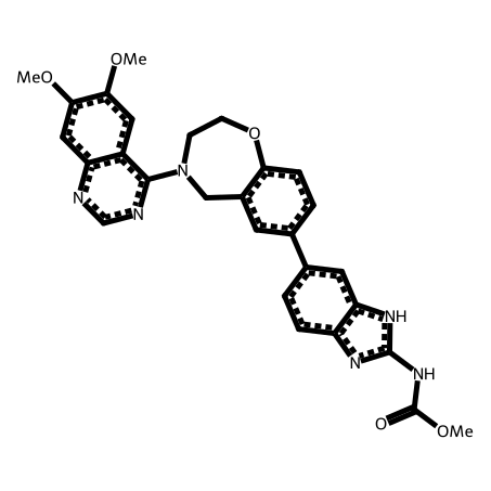 COC(=O)Nc1nc2ccc(-c3ccc4c(c3)CN(c3ncnc5cc(OC)c(OC)cc35)CCO4)cc2[nH]1